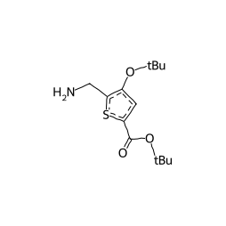 CC(C)(C)OC(=O)c1cc(OC(C)(C)C)c(CN)s1